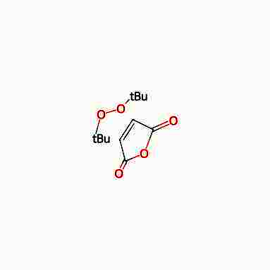 CC(C)(C)OOC(C)(C)C.O=C1C=CC(=O)O1